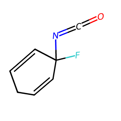 O=C=NC1(F)C=CCC=C1